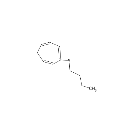 CCCCSC1=CC=CCC=C1